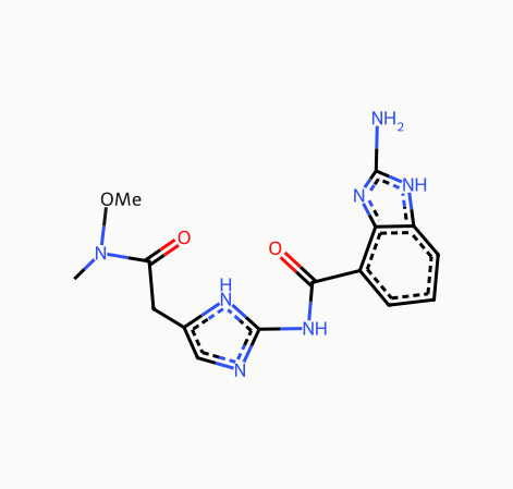 CON(C)C(=O)Cc1cnc(NC(=O)c2cccc3[nH]c(N)nc23)[nH]1